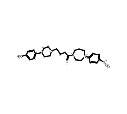 Cc1ccc(N2CCN(CCCC(=O)N3CCCN(c4ccc(SC(F)(F)F)cc4)CC3)CC2)cc1